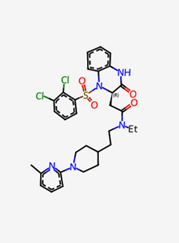 CCN(CCC1CCN(c2cccc(C)n2)CC1)C(=O)C[C@@H]1C(=O)Nc2ccccc2N1S(=O)(=O)c1cccc(Cl)c1Cl